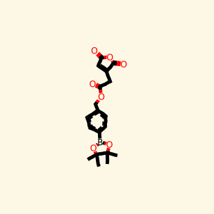 CC1(C)OB(c2ccc(COC(=O)CC3=CC(=O)OC3=O)cc2)OC1(C)C